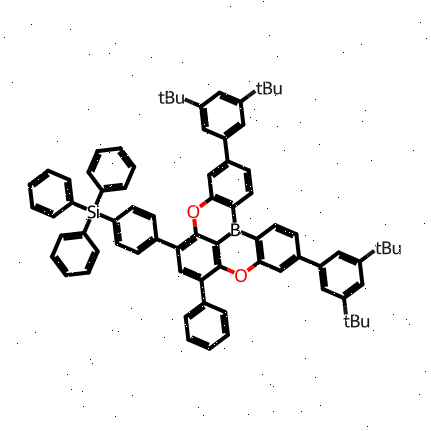 CC(C)(C)c1cc(-c2ccc3c(c2)Oc2c(-c4ccccc4)cc(-c4ccc([Si](c5ccccc5)(c5ccccc5)c5ccccc5)cc4)c4c2B3c2ccc(-c3cc(C(C)(C)C)cc(C(C)(C)C)c3)cc2O4)cc(C(C)(C)C)c1